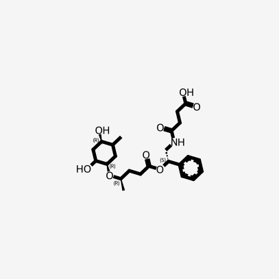 CC1C[C@@H](O[C@H](C)CCC(=O)O[C@H](CNC(=O)CCC(=O)O)c2ccccc2)C(O)C[C@H]1O